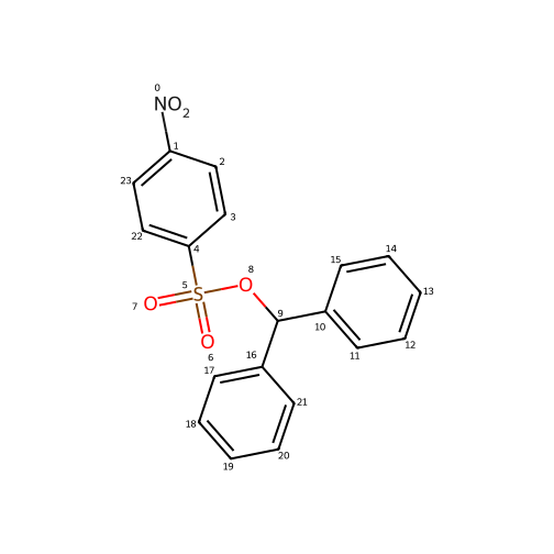 O=[N+]([O-])c1ccc(S(=O)(=O)OC(c2ccccc2)c2ccccc2)cc1